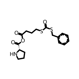 O=C(CCCSC(=O)SCc1ccccc1)OC(=O)[C@@H]1CCCN1